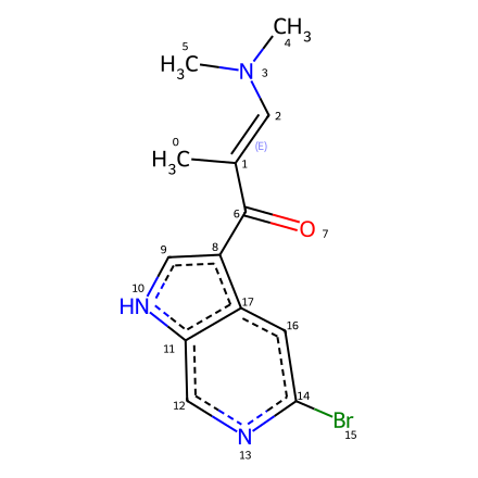 C/C(=C\N(C)C)C(=O)c1c[nH]c2cnc(Br)cc12